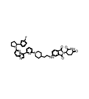 O=C1CCC(N2C(=O)c3ccc(NCCC4CCN(c5cccc(-c6cnc7ccc(N8CCCC8c8cccc(F)c8)nn67)n5)CC4)cc3C2=O)C(=O)N1